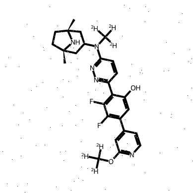 [2H]C([2H])([2H])Oc1cc(-c2cc(O)c(-c3ccc(N(C4C[C@]5(C)CC[C@](C)(C4)N5)C([2H])([2H])[2H])nn3)c(F)c2F)ccn1